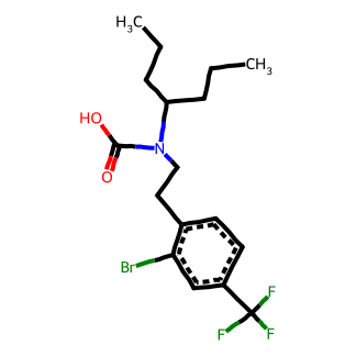 CCCC(CCC)N(CCc1ccc(C(F)(F)F)cc1Br)C(=O)O